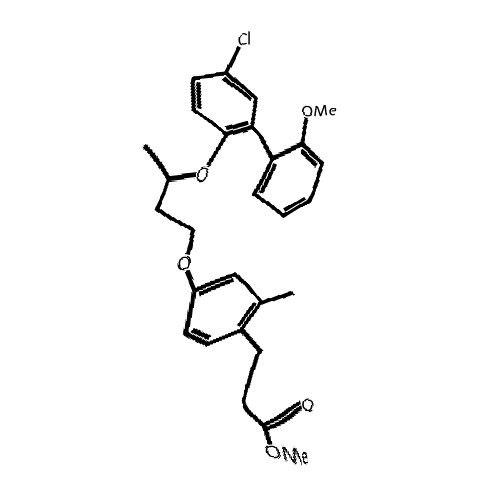 COC(=O)CCc1ccc(OCCC(C)Oc2ccc(Cl)cc2-c2ccccc2OC)cc1C